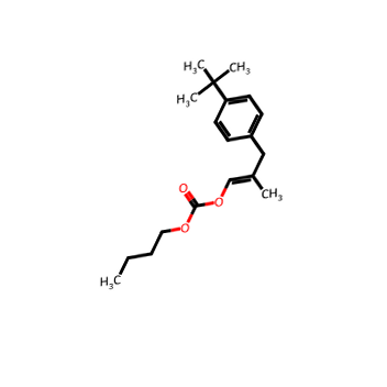 CCCCOC(=O)OC=C(C)Cc1ccc(C(C)(C)C)cc1